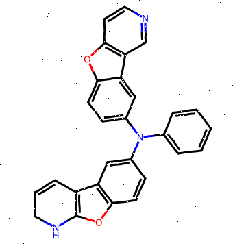 C1=Cc2c(oc3ccc(N(c4ccccc4)c4ccc5oc6ccncc6c5c4)cc23)NC1